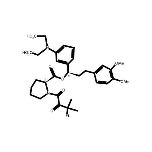 CCC(C)(C)C(=O)C(=O)N1CCCC[C@H]1C(=O)O[C@H](CCc1ccc(OC)c(OC)c1)c1cccc(N(CC(=O)O)CC(=O)O)c1